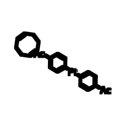 C1=CCCC=CCC1.CC(=O)c1cc[c]([Pt][c]2ccc(C(C)=O)cc2)cc1